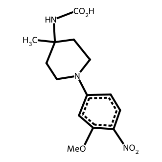 COc1cc(N2CCC(C)(NC(=O)O)CC2)ccc1[N+](=O)[O-]